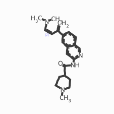 C=C(/C=C\N(C)C)c1ccc2cnc(NC(=O)C3CCN(C)CC3)cc2c1